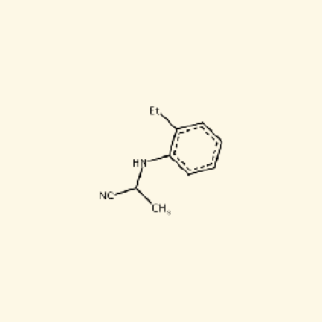 CCc1ccccc1NC(C)C#N